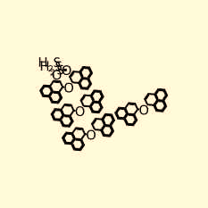 C1=CC(OC2C=Cc3cccc4cccc2c34)c2cccc3cccc1c23.C1=CC(OC2C=Cc3cccc4cccc2c34)c2cccc3cccc1c23.C1=CC(OC2C=Cc3cccc4cccc2c34)c2cccc3cccc1c23.C1=CC(OC2C=Cc3cccc4cccc2c34)c2cccc3cccc1c23.O=S=O.S.S